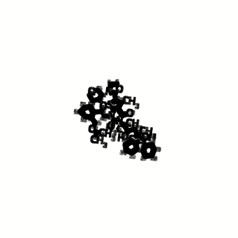 Cc1c(-c2ncco2)sc2c1c(=O)n(C(C)(C)C(=O)CC(C)(C)[Si](O)(c1ccccc1)c1ccccc1)c(=O)n2C[C@H](OC1CCOCC1)c1ccccc1COC(C)C